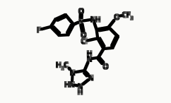 CN1NNN=C1NC(=O)c1ccc(OC(F)(F)F)c(NS(=O)(=O)c2ccc(F)cc2)c1Cl